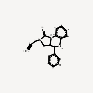 C#CCN1CC2C(c3ccccc3)Oc3ccccc3N2C1=O